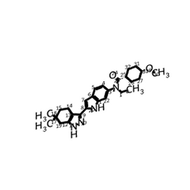 CCN(c1ccc2cc(-c3n[nH]c4c3CCC(C)(C)C4)[nH]c2c1)C(=O)[C@H]1CC[C@@H](OC)CC1